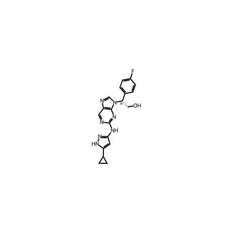 OC[C@@H](c1ccc(F)cc1)n1cnc2cnc(Nc3cc(C4CC4)[nH]n3)nc21